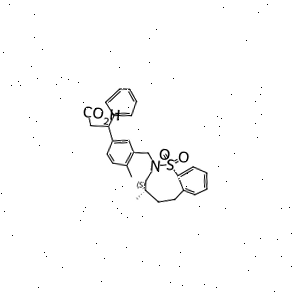 Cc1ccc(C(CC(=O)O)c2ccccc2)cc1CN1C[C@@H](C)CCc2ccccc2S1(=O)=O